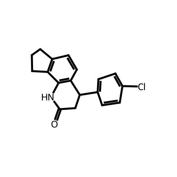 O=C1CC(c2ccc(Cl)cc2)c2ccc3c(c2N1)CCC3